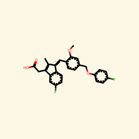 COc1cc(COc2ccc(F)cc2)ccc1/C=C1/C(C)=C(CC(=O)O)c2cc(F)ccc21